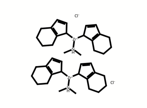 C[SiH](C)[Zr+]([CH]1C=CC2=C1CCCC2)[CH]1C=CC2=C1CCCC2.C[SiH](C)[Zr+]([CH]1C=CC2=C1CCCC2)[CH]1C=CC2=C1CCCC2.[Cl-].[Cl-]